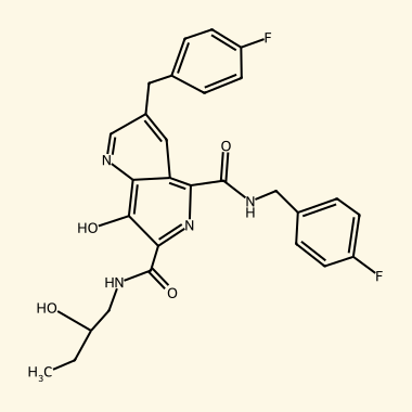 CCC(O)CNC(=O)c1nc(C(=O)NCc2ccc(F)cc2)c2cc(Cc3ccc(F)cc3)cnc2c1O